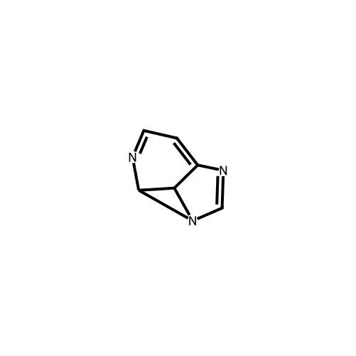 C1=NC2=CC=NC3C2N13